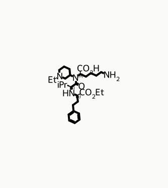 CCOC(=O)[C@H](CCc1ccccc1)N[C@H](C(=O)N(C1CCCN(CC)C1)[C@@H](CCCCN)C(=O)O)C(C)C